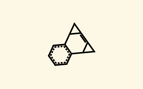 c1ccc2c(c1)C1CC1=C1CC12